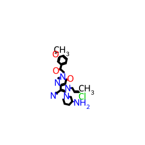 COc1cccc(C(=O)Cn2cnc3c(C#N)c(N4CCC[C@H](N)C4)n(C/C=C(\C)Cl)c3c2=O)c1